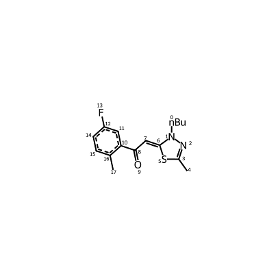 CCCCN1N=C(C)S/C1=C\C(=O)c1cc(F)ccc1C